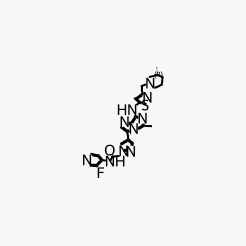 Cc1cn2c(-c3cnn(CC(=O)Nc4ccncc4F)c3)cnc2c(Nc2cc(CN3CCC[C@@H](C)C3)ns2)n1